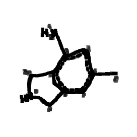 Cc1cc(N)c2c(c1)CNC2